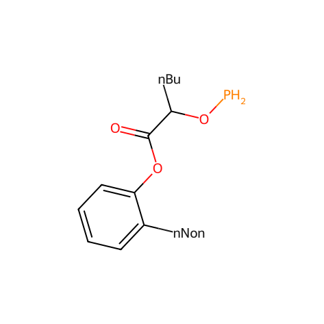 CCCCCCCCCc1ccccc1OC(=O)C(CCCC)OP